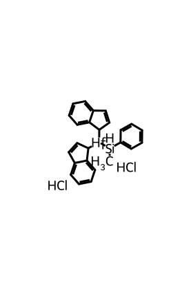 C[SiH](c1ccccc1)[Hf]([CH]1C=Cc2ccccc21)[CH]1C=Cc2ccccc21.Cl.Cl